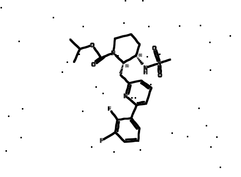 CC(C)OC(=O)N1CCC[C@H](NS(C)(=O)=O)[C@@H]1Cc1cccc(-c2cccc(F)c2F)n1